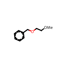 CO[CH]COCc1ccccc1